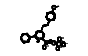 COc1ccc(C=Cc2cc(-c3ccccc3)[s+]c([N+](=O)[O-])c2)cc1.[O-][Cl+3]([O-])([O-])[O-]